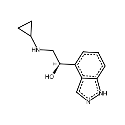 O[C@@H](CNC1CC1)c1cccc2[nH]ncc12